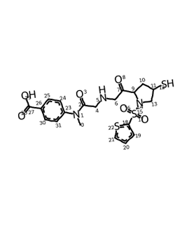 CN(C(=O)CNCC(=O)C1CC(S)CN1S(=O)(=O)c1cccs1)c1ccc(C(=O)O)cc1